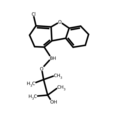 CC(C)(O)C(C)(C)OBC1=c2c(oc3c2=CCCC=3)=C(Cl)CC1